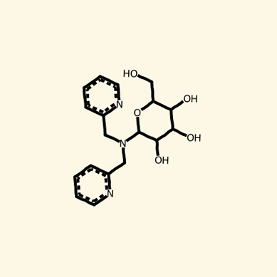 OCC1OC(N(Cc2ccccn2)Cc2ccccn2)C(O)C(O)C1O